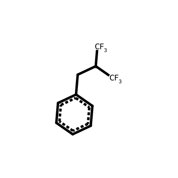 FC(F)(F)[C](Cc1ccccc1)C(F)(F)F